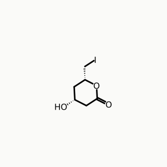 O=C1C[C@H](O)C[C@H](CI)O1